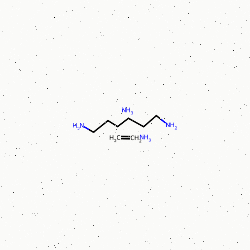 C=C.N.N.NCCCCCCN